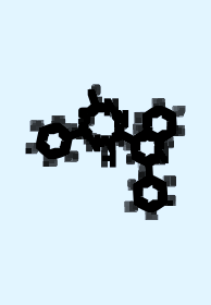 Cc1nnc(-c2cc(-c3ccccc3)nc3ccccc23)[nH]nc(-c2ccccc2)s1